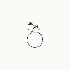 CC(C)(C)CC1(N)CCCCCCCC1